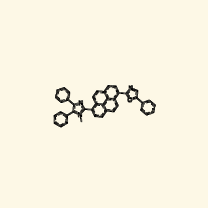 Cn1c(-c2ccc3ccc4c(-c5ncc(-c6ccccc6)o5)ccc5ccc2c3c54)nc(-c2ccccc2)c1-c1ccccc1